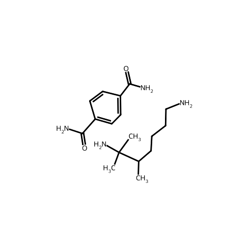 CC(CCCCN)C(C)(C)N.NC(=O)c1ccc(C(N)=O)cc1